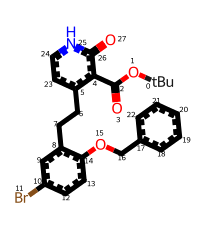 CC(C)(C)OC(=O)c1c(CCc2cc(Br)ccc2OCc2ccccc2)cc[nH]c1=O